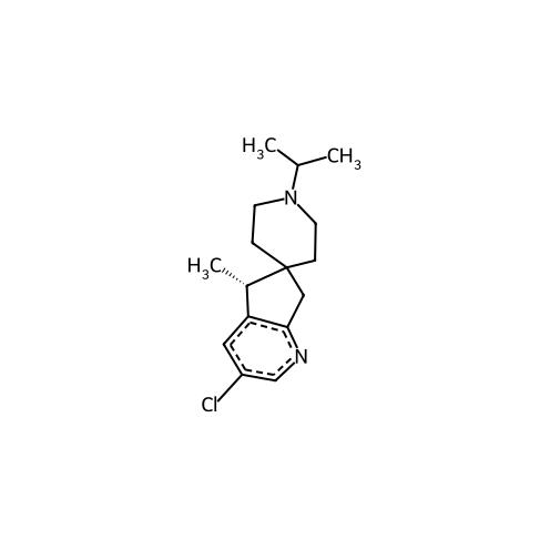 CC(C)N1CCC2(CC1)Cc1ncc(Cl)cc1[C@@H]2C